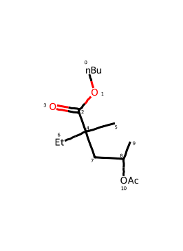 CCCCOC(=O)C(C)(CC)CC(C)OC(C)=O